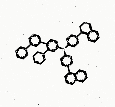 C1=CCCC(c2cc(N(c3ccc(C4=c5ccccc5=CCC4)cc3)c3ccc(-c4cccc5ccccc45)cc3)ccc2-c2cccc(-c3ccccc3)c2)=C1